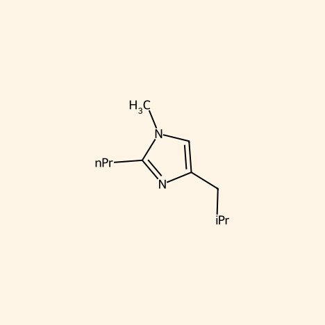 CCCc1nc(CC(C)C)cn1C